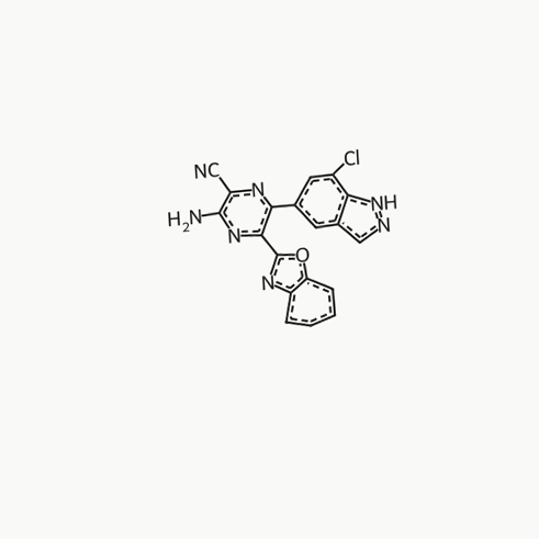 N#Cc1nc(-c2cc(Cl)c3[nH]ncc3c2)c(-c2nc3ccccc3o2)nc1N